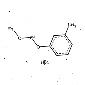 Br.Cc1cccc(OPOC(C)C)c1